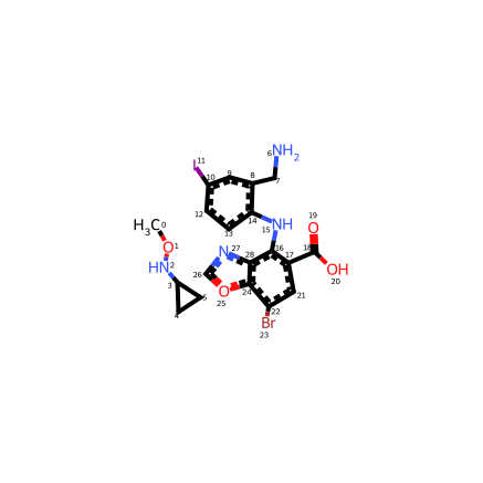 CONC1CC1.NCc1cc(I)ccc1Nc1c(C(=O)O)cc(Br)c2ocnc12